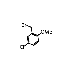 COc1ccc(Cl)cc1CBr